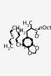 C=CC=C.C=CSC=C.CCCCCCCC[S+]([O-])C(C)Cc1ccc2c(c1)OCO2